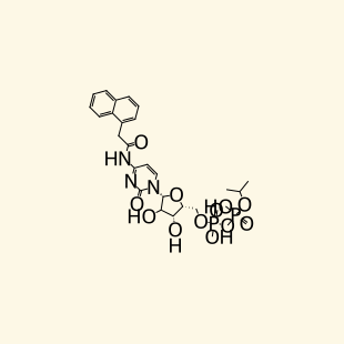 CC(C)OP(=O)(O)OP(=O)(O)OC[C@H]1O[C@@H](n2ccc(NC(=O)Cc3cccc4ccccc34)nc2=O)C(O)[C@H]1O